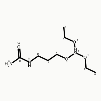 CCO[SiH](OCC)OCCCNC(N)=O